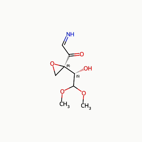 COC(OC)[C@@H](O)[C@@]1(C(=O)C=N)CO1